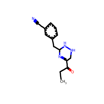 CCC(=O)C1=NC(Cc2cccc(C#N)c2)NNC1